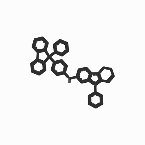 C1=Cc2c(c3ccc(Nc4ccc(C5(c6ccccc6)c6ccccc6-c6ccccc65)cc4)cc3n2-c2ccccc2)CC1